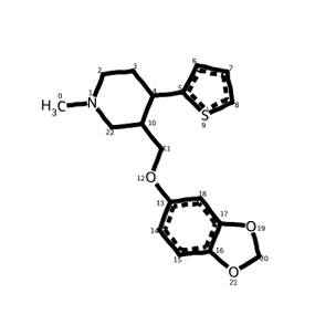 CN1CCC(c2cccs2)C(COc2ccc3c(c2)OCO3)C1